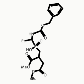 CCCCOC(=O)CC(CP(=O)(O)C(CC)NC(=O)OCc1ccccc1)C(=O)OC